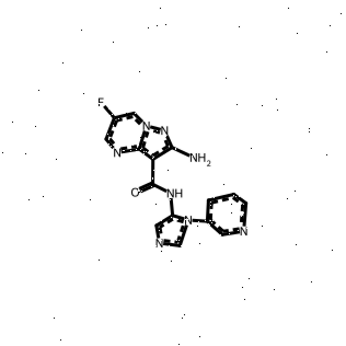 Nc1nn2cc(F)cnc2c1C(=O)Nc1cncn1-c1cccnc1